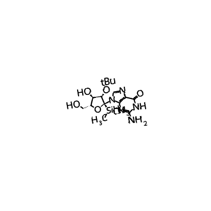 C[SiH](C)[C@@]1(n2cnc3c(=O)[nH]c(N)nc32)O[C@H](CO)[C@@H](O)[C@H]1OC(C)(C)C